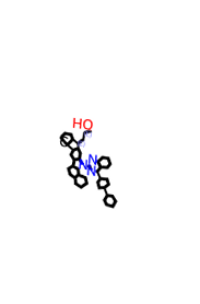 O/C=C/C=C1\c2ccccc2-c2cc3c4ccc5ccccc5c4n(-c4nc(-c5ccc(-c6ccccc6)cc5)c5ccccc5n4)c3cc21